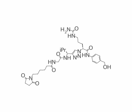 CC(C)[C@H](NC(=O)CNC(=O)CCCCCN1C(=O)CCC1=O)c1cn([C@@H](CCCNC(N)=O)C(=O)Nc2ccc(CO)cc2)nn1